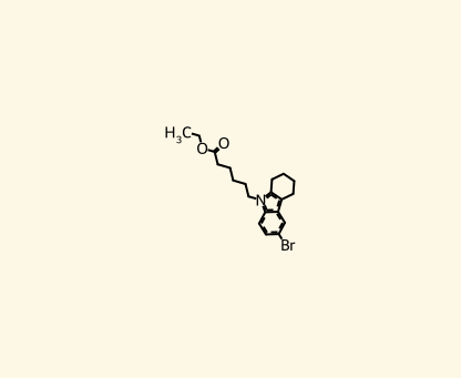 CCOC(=O)CCCCCn1c2c(c3cc(Br)ccc31)CCCC2